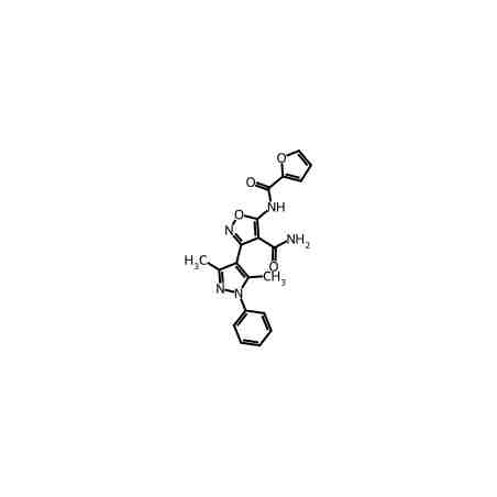 Cc1nn(-c2ccccc2)c(C)c1-c1noc(NC(=O)c2ccco2)c1C(N)=O